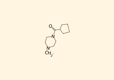 [CH2]N1CCN(C(=O)C2CCCC2)CC1